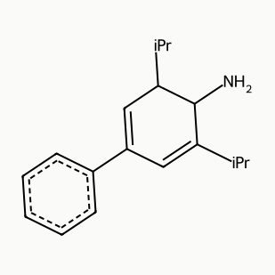 CC(C)C1=CC(c2ccccc2)=CC(C(C)C)C1N